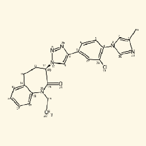 Cc1cn(-c2ccc(-c3cn([C@@H]4CCc5ccccc5N(CC(F)(F)F)C4=O)nn3)cc2Cl)cn1